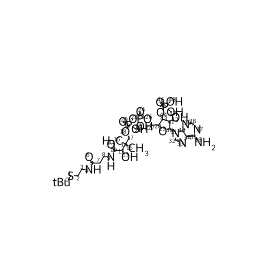 CC(C)(C)SCCNC(=O)CCNC(=O)C(O)C(C)(C)COP(=O)(O)OP(=O)(O)OCC1OC(n2cnc3c(N)ncnc32)C(O)C1OP(=O)(O)O